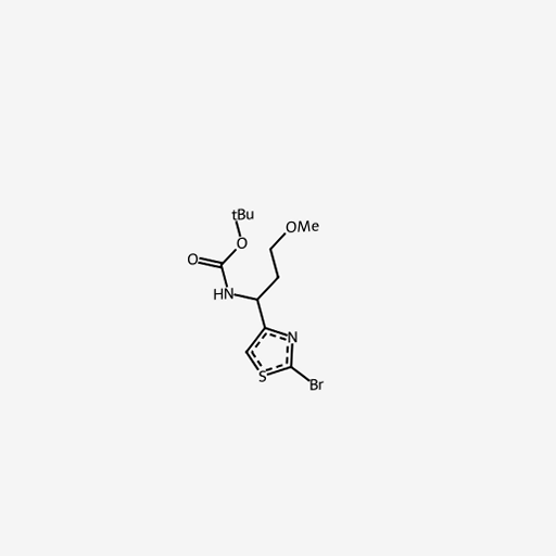 COCCC(NC(=O)OC(C)(C)C)c1csc(Br)n1